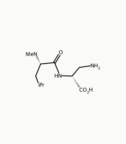 CN[C@@H](CC(C)C)C(=O)N[C@H](CN)C(=O)O